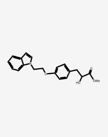 COC(=O)C(O)Cc1ccc(OCCn2ccc3ccccc32)cc1